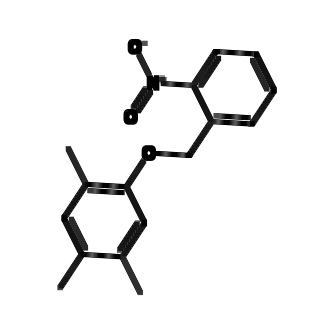 Cc1cc(C)c(OCc2ccccc2[N+](=O)[O-])cc1C